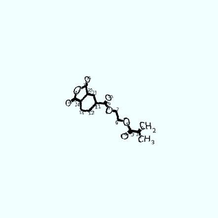 C=C(C)C(=O)OCCOC(=O)C1CCC2C(=O)OC(=O)C2C1